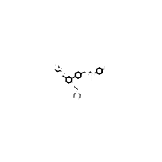 O=C(NCc1ccc(-c2cc(C(=O)Nc3ccn[nH]3)ccc2OCCN2CCOCC2)cc1)Nc1ccc(F)cc1